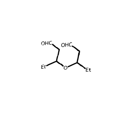 CCC(CC=O)OC(CC)CC=O